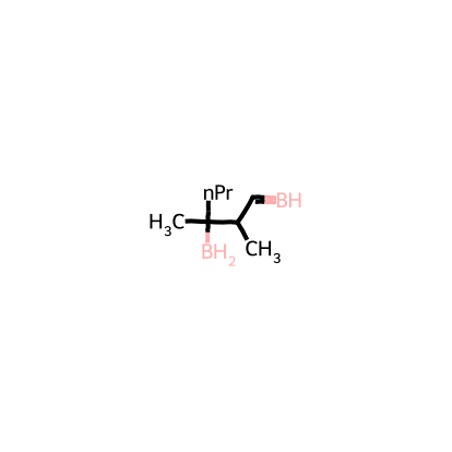 B=CC(C)C(B)(C)CCC